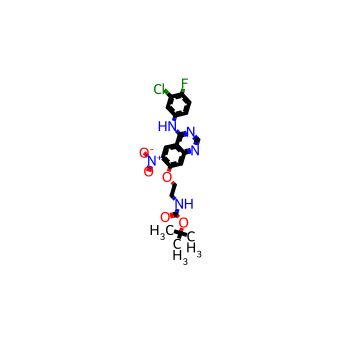 CC(C)(C)OC(=O)NCCOc1cc2ncnc(Nc3ccc(F)c(Cl)c3)c2cc1[N+](=O)[O-]